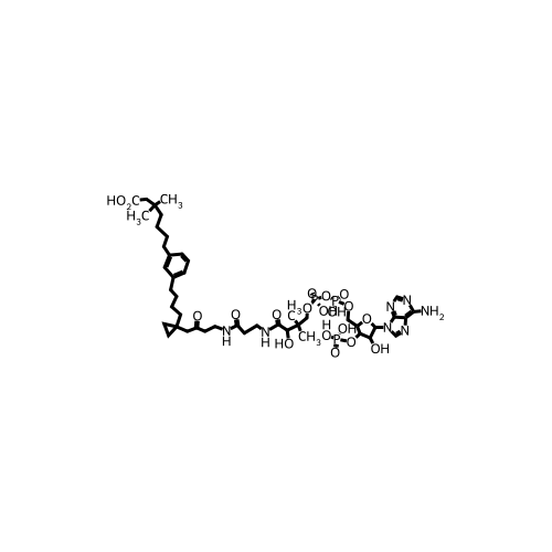 CC(C)(CCCCc1cccc(CCCCC2(CC(=O)CCNC(=O)CCNC(=O)C(O)C(C)(C)COP(=O)(O)OP(=O)(O)OCC3OC(n4cnc5c(N)ncnc54)C(O)C3OP(=O)(O)O)CC2)c1)CC(=O)O